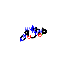 Cc1cccc(Cl)c1N1Cc2cnc3nc2N(CCCCOc2cc(ccc2N2CCN(C)CC2)N3)C1=O